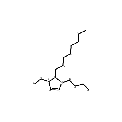 CCCCCCCCC1N(CC)C=CN1CCCC